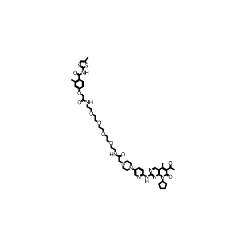 CC(=O)c1c(C)c2cnc(Nc3ccc(N4CCN(CC(=O)NCCOCCOCCOCCOCCNC(=O)COc5ccc(C(=O)Nc6ncc(C)s6)c(C)c5)CC4)cn3)nc2n(C2CCCC2)c1=O